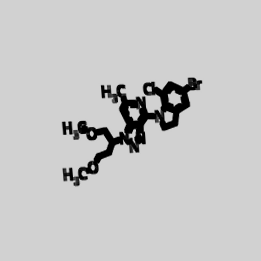 COCCC(COC)n1nnc2c(N3CCc4cc(Br)cc(Cl)c43)nc(C)cc21